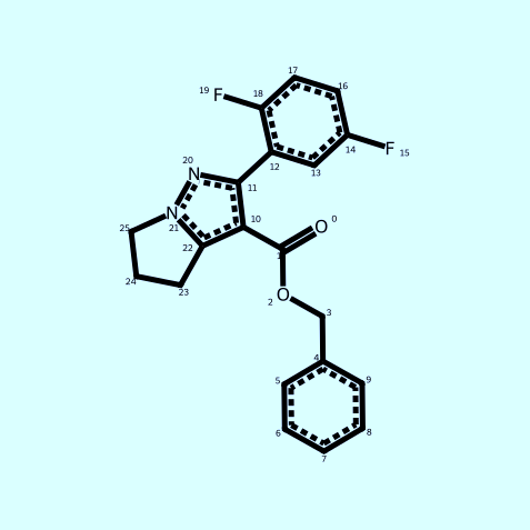 O=C(OCc1ccccc1)c1c(-c2cc(F)ccc2F)nn2c1CCC2